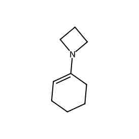 C1=C(N2CCC2)CCCC1